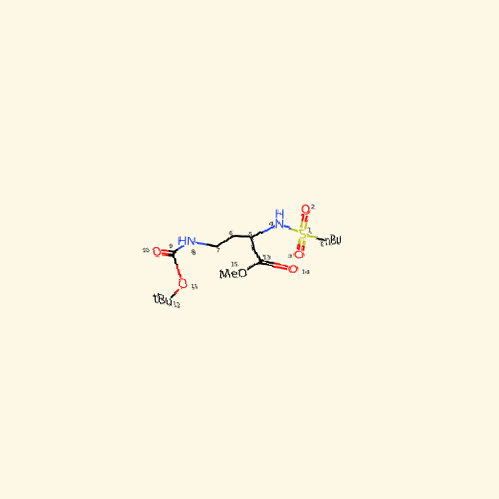 CCCCS(=O)(=O)NC(CCNC(=O)OC(C)(C)C)C(=O)OC